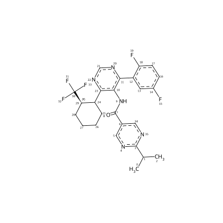 CC(C)c1ncc(C(=O)Nc2c(-c3cc(F)ccc3F)ncnc2C2CCCC[C@H]2C(F)(F)F)cn1